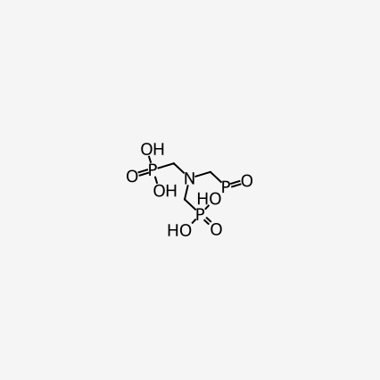 O=PCN(CP(=O)(O)O)CP(=O)(O)O